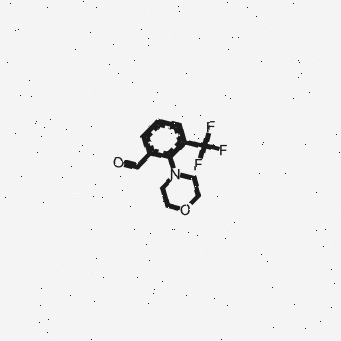 O=Cc1cccc(C(F)(F)F)c1N1CCOCC1